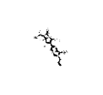 C=CCn1c[n+]2cc(C3=C(C(=O)O)N4C(=O)[C@H]([C@@H](C)O)[C@H]4[C@H]3C)sc2c1SC.[I-]